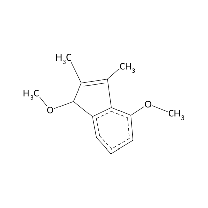 COc1cccc2c1C(C)=C(C)C2OC